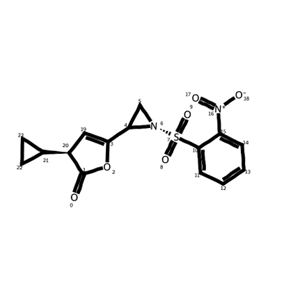 O=C1OC(C2C[N@]2S(=O)(=O)c2ccccc2[N+](=O)[O-])=C[C@@H]1C1CC1